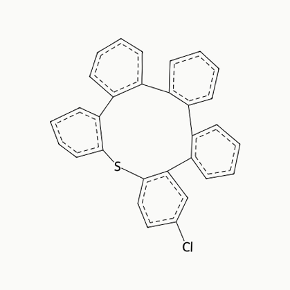 Clc1ccc2c(c1)-c1ccccc1-c1ccccc1-c1ccccc1-c1ccccc1S2